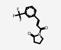 O=C(C=Cc1cccc(C(F)(F)F)c1)N1CCCC1=O